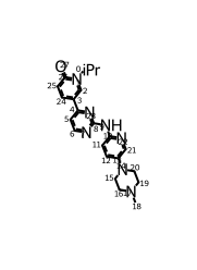 CC(C)n1cc(-c2ccnc(Nc3ccc(N4CCN(C)CC4)cn3)n2)ccc1=O